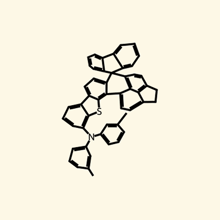 Cc1cccc(N(c2cccc(C)c2)c2cccc3c2sc2c4c(ccc23)C2(c3ccccc3-c3ccccc32)c2ccc3c5c(ccc-4c25)CC3)c1